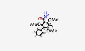 COc1c(C)c(OC)c(-c2ccccc2)c(OC)c1C(N)=O